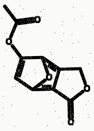 CC(=O)Oc1cc2oc1c1c2C(=O)OC1